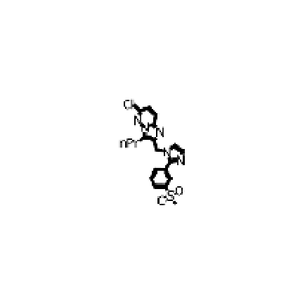 CCCc1c(Cn2ccnc2-c2cccc(S(C)(=O)=O)c2)nc2ccc(Cl)nn12